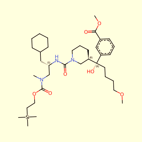 COCCCC[C@](O)(c1cccc(C(=O)OC)c1)[C@@H]1CCCN(C(=O)N[C@@H](CC2CCCCC2)CN(C)C(=O)OCC[Si](C)(C)C)C1